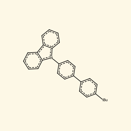 CCC(C)c1ccc(-c2ccc(-n3c4ccccc4c4ccccc43)cc2)cc1